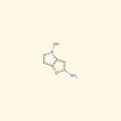 Nc1cc2c(ccn2O)o1